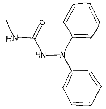 CNC(=O)NN(c1ccccc1)c1ccccc1